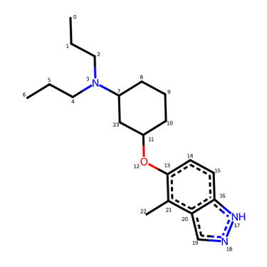 CCCN(CCC)C1CCCC(Oc2ccc3[nH]ncc3c2C)C1